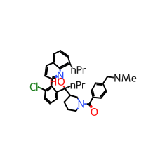 [CH2]CCC(O)(c1cccc(Cl)c1-c1ccc2cccc(CCC)c2n1)C1CCCN(C(=O)c2ccc(CNC)cc2)C1